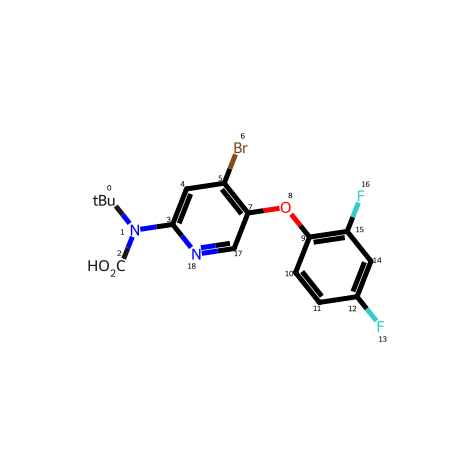 CC(C)(C)N(C(=O)O)c1cc(Br)c(Oc2ccc(F)cc2F)cn1